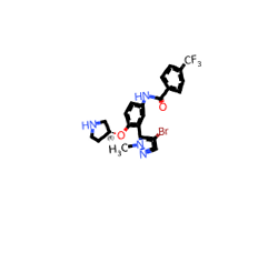 Cn1ncc(Br)c1-c1cc(NC(=O)c2ccc(C(F)(F)F)cc2)ccc1O[C@@H]1CCNC1